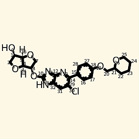 O[C@@H]1CO[C@H]2[C@@H]1OC[C@H]2Oc1nc2nc(-c3ccc(OCC4CCCCO4)cc3)c(Cl)cc2[nH]1